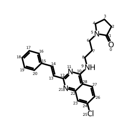 O=C1CCCN1CCCNc1nc(C=Cc2ccccc2)nc2cc(Cl)ccc12